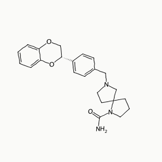 NC(=O)N1CCCC12CCN(Cc1ccc([C@H]3COc4ccccc4O3)cc1)C2